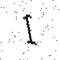 NC(=O)CCCCCCCCCCCCCCCC(N)=O